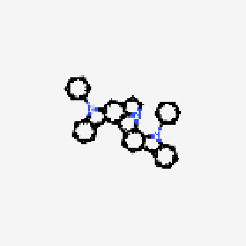 c1ccc(-n2c3ccccc3c3c4c5ccc6c7ccccc7n(-c7ccccc7)c6c5n5ccc(cc32)c45)cc1